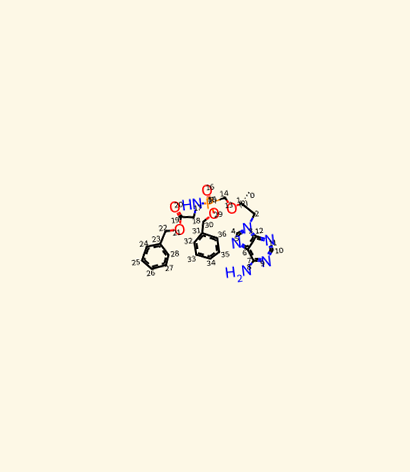 C[C@H](Cn1cnc2c(N)ncnc21)OC[P@](=O)(NCC(=O)OCc1ccccc1)OCc1ccccc1